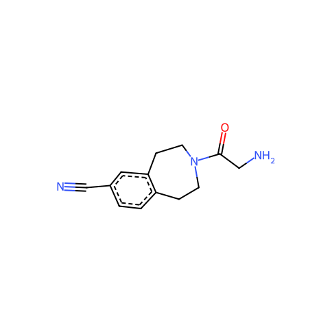 N#Cc1ccc2c(c1)CCN(C(=O)CN)CC2